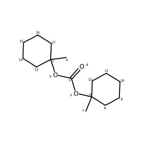 CC1(OC(=O)OC2(C)CCCCC2)CCCCC1